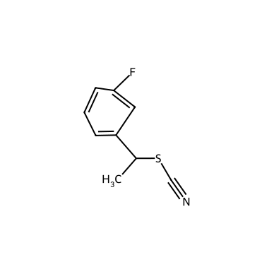 CC(SC#N)c1cccc(F)c1